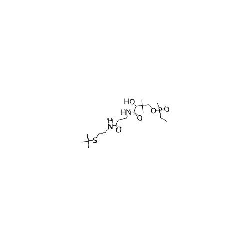 CCP(C)(=O)OCC(C)(C)C(O)C(=O)NCCC(=O)NCCSC(C)(C)C